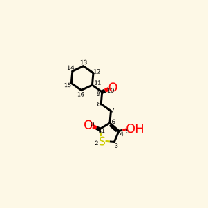 O=C1SCC(O)=C1CCC(=O)C1CCCCC1